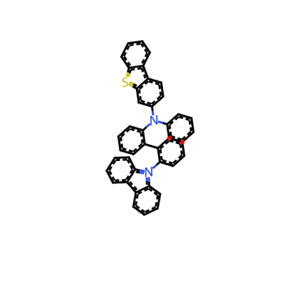 c1ccc(N(c2ccc3c(c2)sc2ccccc23)c2ccccc2-c2ccccc2-n2c3ccccc3c3ccccc32)cc1